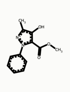 COC(=O)c1c(O)c(C)nn1-c1ccccc1